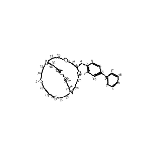 c1ccc(-c2ccc(CC3COCCN4CCSCCSCCN(CCO3)CCSCCSCC4)cc2)cc1